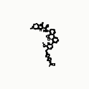 COc1nc(-c2cccc(-c3cccc(NC(=O)c4nc5c(n4C)CCN(C)C5)c3Cl)c2Cl)ccc1CN1CC2(C1)CN(C(C)=O)C2